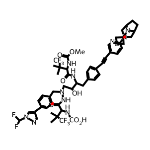 COC(=O)NC(C(=O)NC(Cc1ccc(C#Cc2ccc(N3CC4CCC(C3)N4C3COC3)nc2)cc1)C(O)CN(Cc1ccc(-c2cnn(C(F)F)c2)cc1)NC(=O)C(NC(=O)O)C(C)(C)C(F)(F)F)C(C)(C)C(F)(F)F